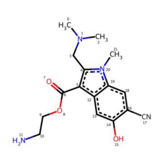 CN(C)Cc1c(C(=O)OCCN)c2cc(O)c(C#N)cc2n1C